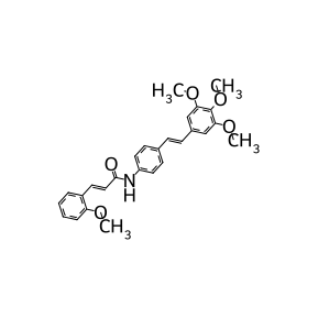 COc1ccccc1/C=C/C(=O)Nc1ccc(/C=C/c2cc(OC)c(OC)c(OC)c2)cc1